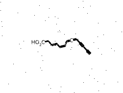 C#CC#CC=C=C/C=C\C=C\CC(=O)O